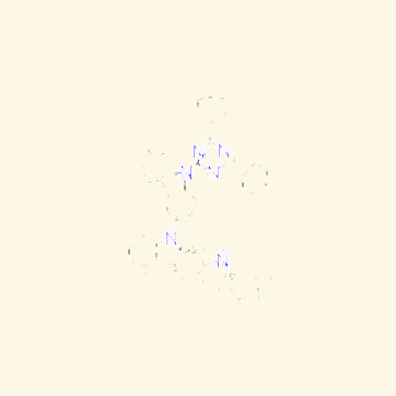 c1ccc(-c2nc(-c3ccccc3)nc(-n3c4ccccc4c4cc(-n5c6ccccc6c6ccc7c(ccn7-c7ccccc7)c65)ccc43)n2)cc1